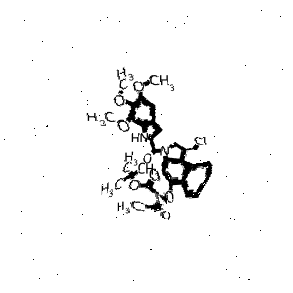 COc1cc2cc(C(=O)N3C[C@@H](CCl)c4c3cc(ON(C(C)=O)C(=O)OC(C)(C)C)c3ccccc43)[nH]c2c(OC)c1OC